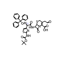 CC(C)(C)OC(=O)Nc1nc(/C(=N\OC(c2ccccc2)(c2ccccc2)c2ccccc2)C(=O)NC2C(=O)N3C(C(=O)O)=C(CC=O)CSC23)cs1